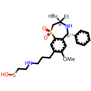 CCCC[C@]1(CC)CS(=O)(=O)c2cc(CCCNCCSO)c(OC)cc2[C@@H](c2ccccc2)N1